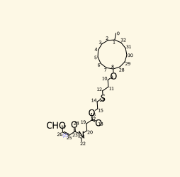 CC1CCCCCCC(OCCCSCCOC(=O)CCN(C)C(=O)/C=C\C=O)CCCCC1